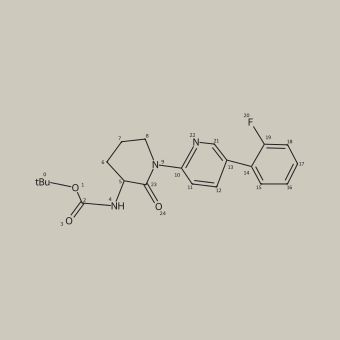 CC(C)(C)OC(=O)NC1CCCN(c2ccc(-c3ccccc3F)cn2)C1=O